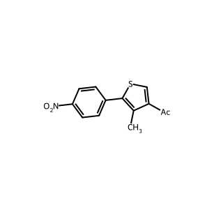 CC(=O)c1csc(-c2ccc([N+](=O)[O-])cc2)c1C